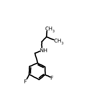 CC(C)CNCc1cc(F)cc(F)c1